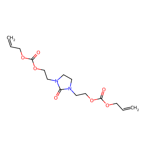 C=CCOC(=O)OCCN1CCN(CCOC(=O)OCC=C)C1=O